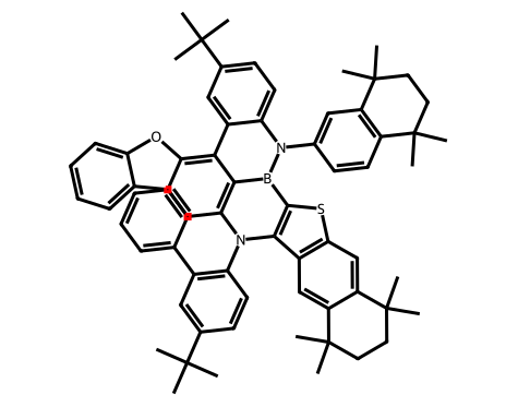 CC(C)(C)c1ccc2c(c1)-c1c3c(cc4c1oc1ccccc14)N(c1ccc(C(C)(C)C)cc1-c1ccccc1)c1c(sc4cc5c(cc14)C(C)(C)CCC5(C)C)B3N2c1ccc2c(c1)C(C)(C)CCC2(C)C